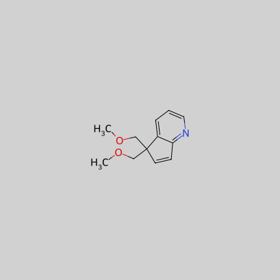 COCC1(COC)C=Cc2ncccc21